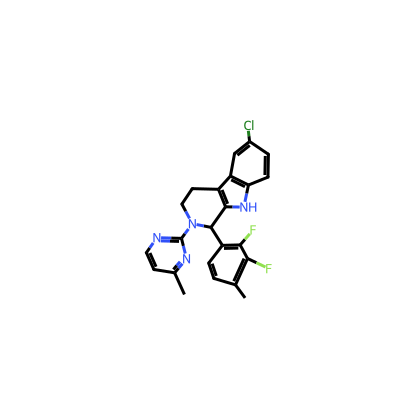 Cc1ccnc(N2CCc3c([nH]c4ccc(Cl)cc34)C2c2ccc(C)c(F)c2F)n1